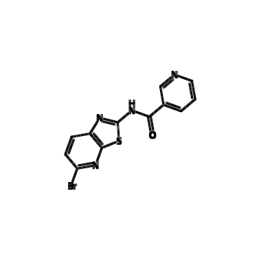 O=C(Nc1nc2ccc(Br)nc2s1)c1cccnc1